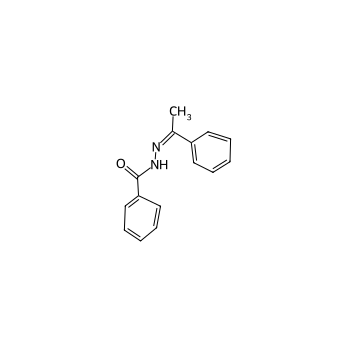 CC(=NNC(=O)c1ccccc1)c1ccccc1